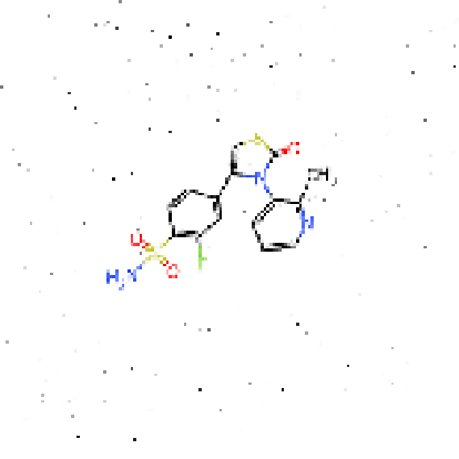 Cc1ncccc1-n1c(-c2ccc(S(N)(=O)=O)c(F)c2)csc1=O